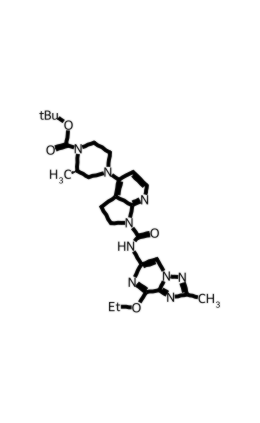 CCOc1nc(NC(=O)N2CCc3c(N4CCN(C(=O)OC(C)(C)C)[C@@H](C)C4)ccnc32)cn2nc(C)nc12